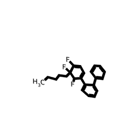 CCCCCC1(F)C(F)=CC=C(c2ccccc2-c2ccccc2)C1F